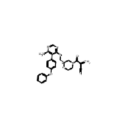 C=C(C#N)C(=O)N1CCO[C@@H](COc2ncnc(N)c2-c2ccc(Oc3ccccc3)cc2)C1